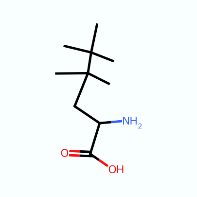 CC(C)(C)C(C)(C)CC(N)C(=O)O